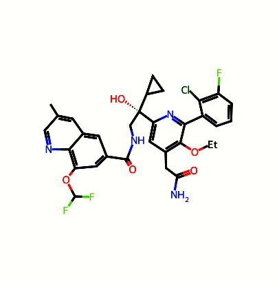 CCOc1c(CC(N)=O)cc([C@@](O)(CNC(=O)c2cc(OC(F)F)c3ncc(C)cc3c2)C2CC2)nc1-c1cccc(F)c1Cl